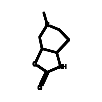 CN1CCC2NC(=O)OC2C1